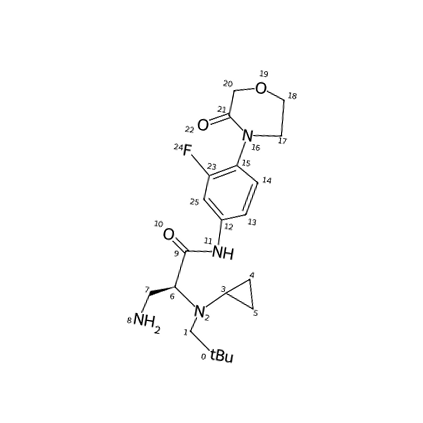 CC(C)(C)CN(C1CC1)[C@@H](CN)C(=O)Nc1ccc(N2CCOCC2=O)c(F)c1